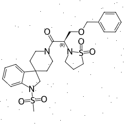 CS(=O)(=O)N1CC2(CCN(C(=O)[C@@H](COCc3ccccc3)N3CCCS3(=O)=O)CC2)c2ccccc21